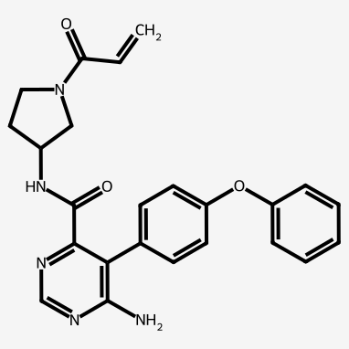 C=CC(=O)N1CCC(NC(=O)c2ncnc(N)c2-c2ccc(Oc3ccccc3)cc2)C1